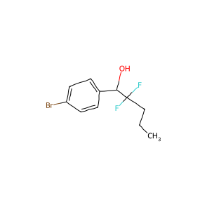 CCCC(F)(F)C(O)c1ccc(Br)cc1